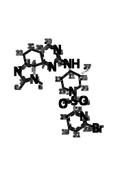 Cc1nc2c(n1C)-c1nc(N[C@H]3CCN(S(=O)(=O)c4cccc(Br)n4)C[C@H]3C)ncc1CC2